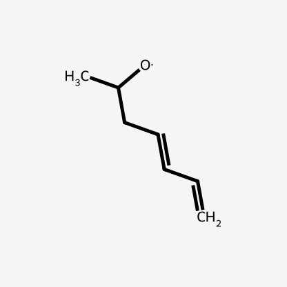 C=C/C=C/CC(C)[O]